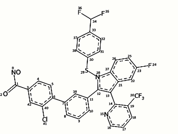 O=NC(=O)c1ccc(-c2cccc(-c3c(-c4ncccc4C(F)(F)F)c4cc(F)ccc4n3Sc3ccc(C(F)F)cc3)c2)c(Cl)c1